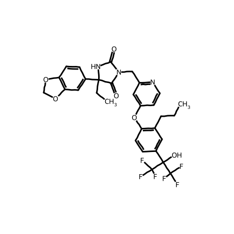 CCCc1cc(C(O)(C(F)(F)F)C(F)(F)F)ccc1Oc1ccnc(CN2C(=O)NC(CC)(c3ccc4c(c3)OCO4)C2=O)c1